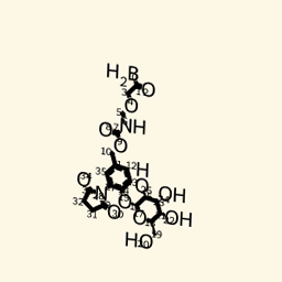 BC(=O)COCNC(=O)OCc1ccc(O[C@@H]2O[C@H](CO)[C@H](O)[C@H](O)[C@H]2O)c(N2C(=O)CCC2=O)c1